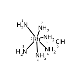 Cl.[NH2][Rh]([NH2])([NH2])([NH2])([NH2])[NH2]